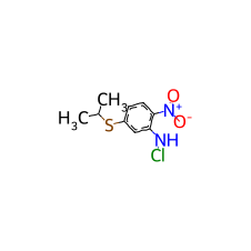 CC(C)Sc1ccc([N+](=O)[O-])c(NCl)c1